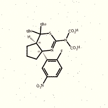 CC(C)(C)C1(C(C)(C)C)SC(N(C(=O)O)C(=O)O)=N[C@@]2(c3cc([N+](=O)[O-])ccc3F)CCC[C@@H]12